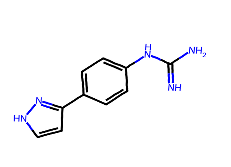 N=C(N)Nc1ccc(-c2cc[nH]n2)cc1